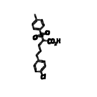 Cc1ccc(S(=O)(=O)C(CCCc2ccc(Cl)cc2)C(=O)O)cc1